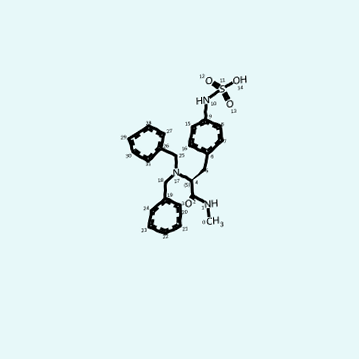 CNC(=O)[C@H](Cc1ccc(NS(=O)(=O)O)cc1)N(Cc1ccccc1)Cc1ccccc1